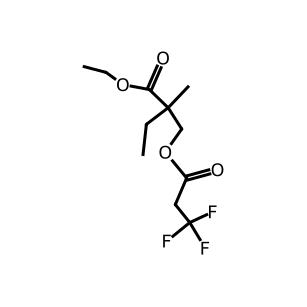 CCOC(=O)C(C)(CC)COC(=O)CC(F)(F)F